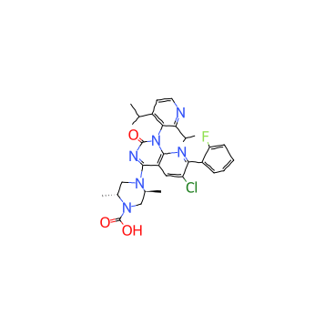 CC(C)c1ccnc(C(C)C)c1-n1c(=O)nc(N2C[C@@H](C)N(C(=O)O)C[C@@H]2C)c2cc(Cl)c(-c3ccccc3F)nc21